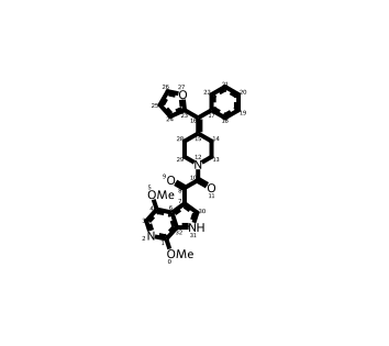 COc1ncc(OC)c2c(C(=O)C(=O)N3CCC(=C(c4ccccc4)c4ccco4)CC3)c[nH]c12